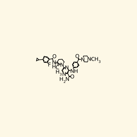 C[C@@H]1[C@H](NC(=O)c2ccc(C3CC3)cc2F)CCCN1c1cnc(C(N)=O)c(Nc2ccc(C(=O)N3CCN(C)CC3)cc2)n1